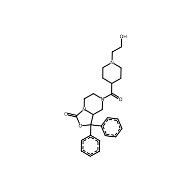 O=C(C1CCN(CCO)CC1)N1CCN2C(=O)OC(c3ccccc3)(c3ccccc3)C2C1